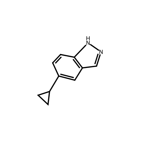 c1cc2[nH]ncc2cc1C1CC1